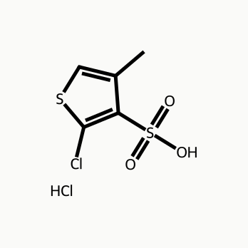 Cc1csc(Cl)c1S(=O)(=O)O.Cl